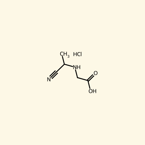 CC(C#N)NCC(=O)O.Cl